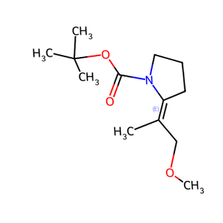 COC/C(C)=C1\CCCN1C(=O)OC(C)(C)C